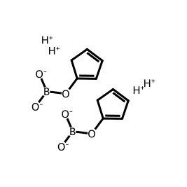 [H+].[H+].[H+].[H+].[O-]B([O-])OC1=CC=CC1.[O-]B([O-])OC1=CC=CC1